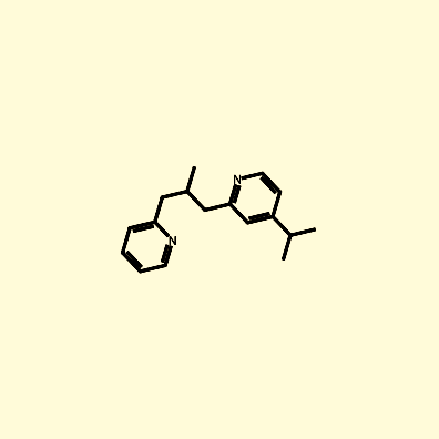 CC(Cc1ccccn1)Cc1cc(C(C)C)ccn1